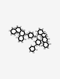 c1ccc(-c2cccc(N(c3ccc(-c4cc5ccc6ccccc6c5c5ccccc45)cc3)c3cccc4sc5cc6ccccc6cc5c34)c2)cc1